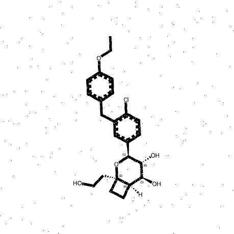 CCOc1ccc(Cc2cc([C@@H]3O[C@]4(CCO)CC[C@@H]4[C@H](O)[C@H]3O)ccc2Cl)cc1